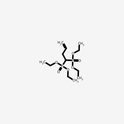 C=CCC(P(=O)(OCC)OCC)P(=O)(OCC)OCC